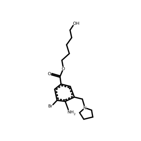 Nc1c(Br)cc(C(=O)OCCCCCO)cc1CN1CCCC1